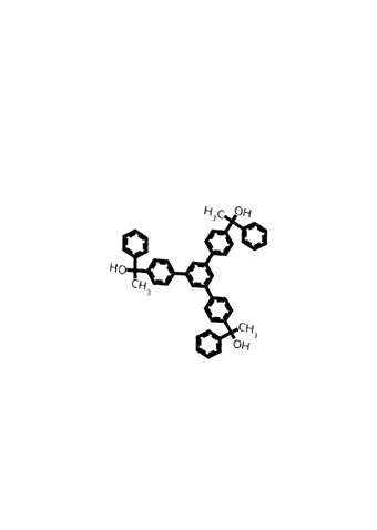 CC(O)(c1ccccc1)c1ccc(-c2cc(-c3ccc(C(C)(O)c4ccccc4)cc3)cc(-c3ccc(C(C)(O)c4ccccc4)cc3)c2)cc1